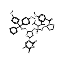 COc1ccc(C(=O)N2CCC[C@H]2COP(=O)(O[C@H]2C[C@H](n3cc(C)c(=O)[nH]c3=O)O[C@@H]2COC(c2ccccc2)(c2ccc(OC)cc2)c2ccc(OC)cc2)N(C(C)C)C(C)C)cc1